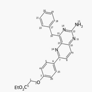 CCOC(=O)COc1ccc(-c2ccc3nc(N)nc(Cc4ccccc4)c3n2)cc1